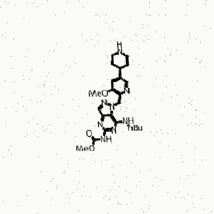 CCCCNc1nc(NC(=O)OC)nc2cnn(Cc3ncc(C4CCNCC4)cc3OC)c12